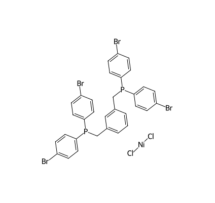 Brc1ccc(P(Cc2cccc(CP(c3ccc(Br)cc3)c3ccc(Br)cc3)c2)c2ccc(Br)cc2)cc1.[Cl][Ni][Cl]